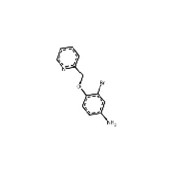 Nc1ccc(OCc2ccccn2)c(Br)c1